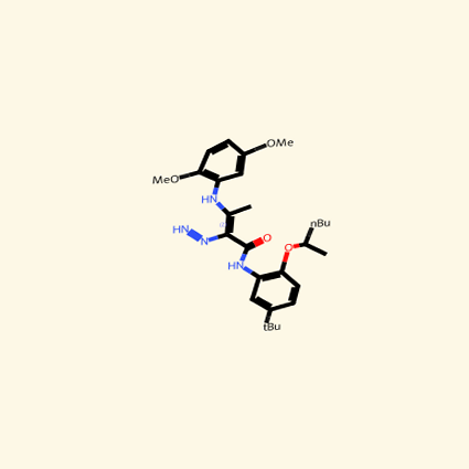 CCCCC(C)Oc1ccc(C(C)(C)C)cc1NC(=O)/C(N=N)=C(\C)Nc1cc(OC)ccc1OC